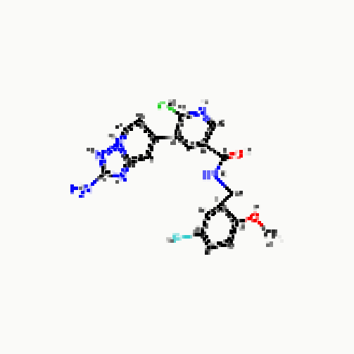 Nc1nc2cc(-c3cc(C(=O)NCc4cc(F)ccc4OC(F)(F)F)cnc3Cl)ccn2n1